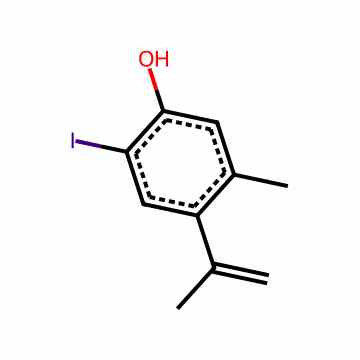 C=C(C)c1cc(I)c(O)cc1C